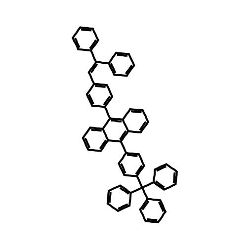 C(=C(c1ccccc1)c1ccccc1)c1ccc(-c2c3ccccc3c(-c3ccc(C(c4ccccc4)(c4ccccc4)c4ccccc4)cc3)c3ccccc23)cc1